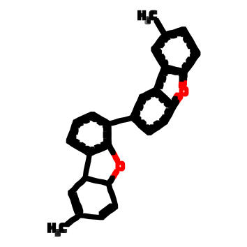 CC1=CC2c3cccc(-c4ccc5oc6ccc(C)cc6c5c4)c3OC2C=C1